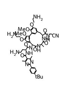 COc1c(OCCN)cc2cc1-c1cc(cc(OCCN)c1OC)C(N(C)C(=O)C(CCN)NC(=O)c1c(C)nc(-c3ccc(C(C)(C)C)cc3)nc1C)C(=O)NC(C)C(=O)NC(C(=O)NCC#N)C2